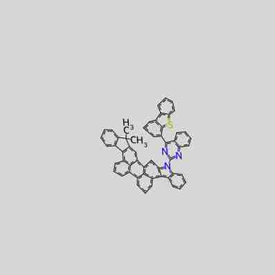 CC1(C)c2ccccc2-c2c1cc1c3cc4c(c5cccc(c6cccc2c61)c35)c1ccccc1n4-c1nc(-c2cccc3c2sc2ccccc23)c2ccccc2n1